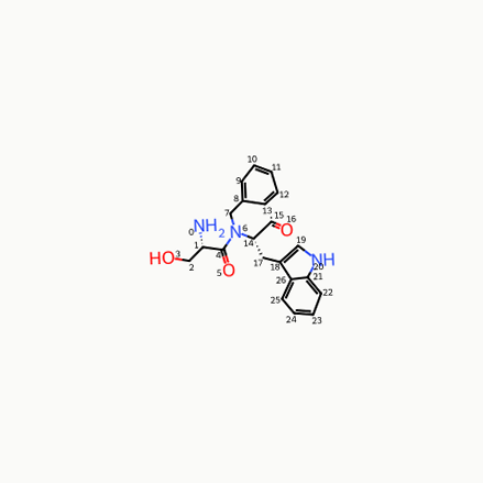 N[C@@H](CO)C(=O)N(Cc1ccccc1)[C@H]([C]=O)Cc1c[nH]c2ccccc12